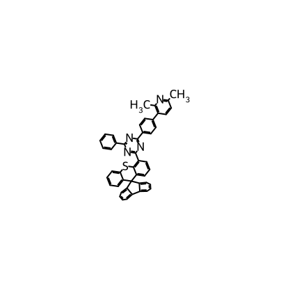 Cc1ccc(-c2ccc(-c3nc(-c4ccccc4)nc(-c4cccc5c4Sc4ccccc4C54c5ccccc5-c5ccccc54)n3)cc2)c(C)n1